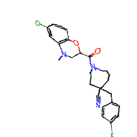 CN1CC(C(=O)N2CCC(C#N)(Cc3ccc(F)cc3)CC2)Oc2ccc(Cl)cc21